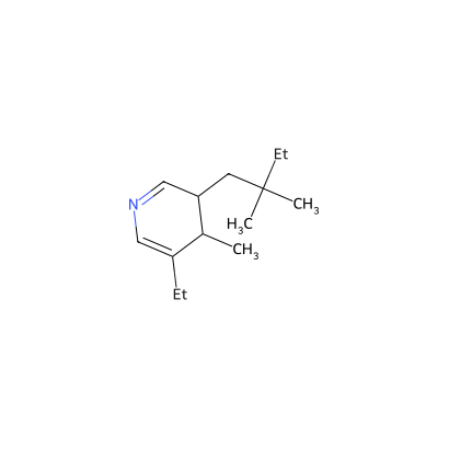 CCC1=CN=CC(CC(C)(C)CC)C1C